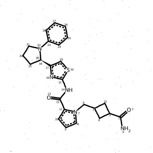 NC(=O)C1CC(Cn2cccc2C(=O)Nc2nc([C@H]3CCCN3c3ccccc3)cs2)C1